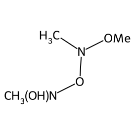 CON(C)ON(C)O